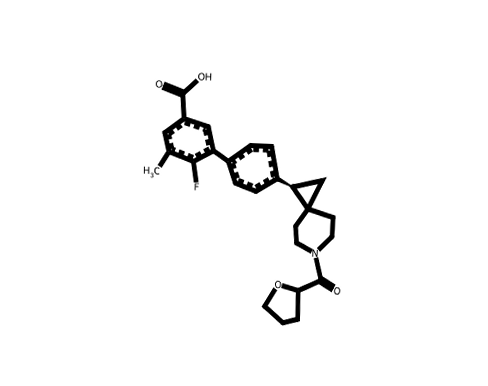 Cc1cc(C(=O)O)cc(-c2ccc([C@H]3CC34CCN(C(=O)C3CCCO3)CC4)cc2)c1F